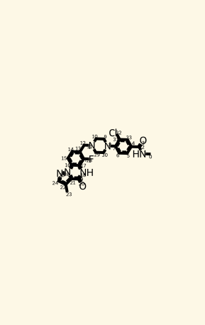 CNC(=O)c1ccc(N2CCN(Cc3ccc4c([nH]c(=O)c5c(C)cnn54)c3F)CC2)c(Cl)c1